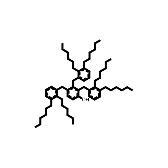 CCCCCCc1cccc(Cc2ccc(O)c(Cc3cccc(CCCCCC)c3CCCCCC)c2Cc2cccc(CCCCCC)c2CCCCCC)c1CCCCCC